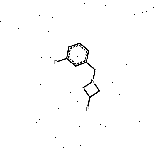 Fc1cccc(CN2CC(F)C2)c1